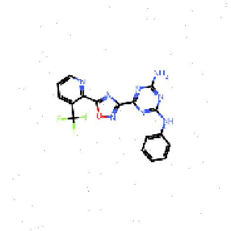 Nc1nc(Nc2ccccc2)nc(-c2noc(-c3ncccc3C(F)(F)F)n2)n1